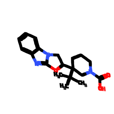 CC(C)(C)C1(C2Cn3c(nc4ccccc43)O2)CCCN(C(=O)O)C1